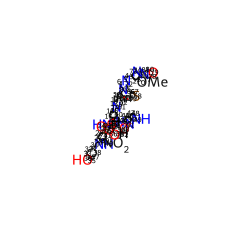 COc1cc(CN2CCN(C3CC4(CCN(c5ccc(C(=O)NS(=O)(=O)c6ccc(NCC7CCC(C)(O)CC7)c([N+](=O)[O-])c6)c(N6c7cc8cc[nH]c8nc7O[C@H]7COCC[C@@H]76)c5)CC4)C3C)[C@H](c3cscc3C(C)C)C2)cnc1N1CCOCC1